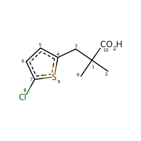 CC(C)(Cc1ccc(Cl)s1)C(=O)O